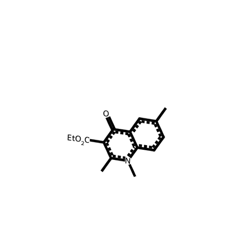 CCOC(=O)c1c(C)n(C)c2ccc(C)cc2c1=O